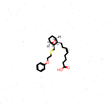 O=C(O)CCC/C=C\CC[C@H]1[C@@H](CSCCOc2ccccc2)[C@H]2CC[C@@H]1O2